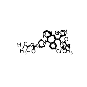 COC1(C(=O)NC(C2=Cc3cccnc3C(N3CCN(C(=O)OC(C)C)CC3)c3ccc(Cl)cc32)c2cncn2C)CC1